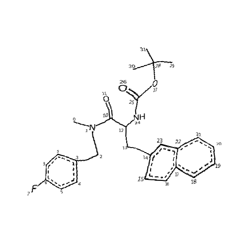 CN(Cc1ccc(F)cc1)C(=O)C(Cc1ccc2ccccc2c1)NC(=O)OC(C)(C)C